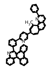 CC1=C=C(c2ccc(-c3cccc(-c4nc5ccccc5c5c6ccccc6c6ccccc6c45)c3)nc2)C=Cc2ccc3ccc(-c4ccccc4)nc3c21